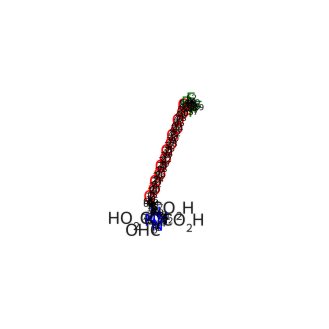 O=CCN1CCN(CC(=O)O)CCN(C(Cc2ccc(OCCOCCOCCOCCOCCOCCOCCOCCOCCOCCOCCOCC(=O)Oc3c(F)c(F)cc(F)c3F)cc2)C(=O)O)CCN(CC(=O)O)CC1